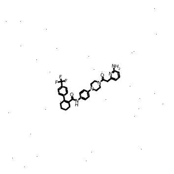 Nc1cccc(CC(=O)N2CCN(c3ccc(NC(=O)C4=C(c5ccc(C(F)(F)F)cc5)CCCC4)cc3)CC2)n1